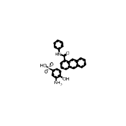 Nc1cc(S(=O)(=O)O)ccc1O.O=C(Nc1ccccc1)c1cccc2cc3ccccc3cc12